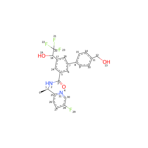 C[C@@H](NC(=O)c1cc(-c2ccc(CO)cc2)cc(C(O)C(F)(F)F)c1)c1ccc(F)cn1